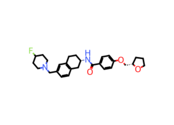 O=C(N[C@H]1CCc2cc(CN3CCC(F)CC3)ccc2C1)c1ccc(OC[C@@H]2CCCO2)cc1